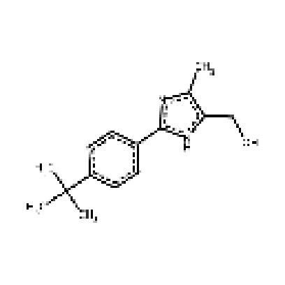 Cc1nc(-c2ccc(C(C)(C)C)cc2)[nH]c1CO